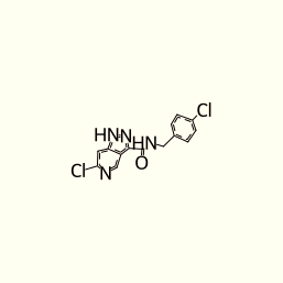 O=C(NCc1ccc(Cl)cc1)c1n[nH]c2cc(Cl)ncc12